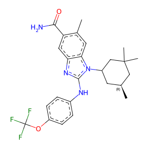 Cc1cc2c(cc1C(N)=O)nc(Nc1ccc(OC(F)(F)F)cc1)n2C1C[C@H](C)CC(C)(C)C1